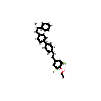 CCOc1c(F)cc(CCc2ccc(-c3ccc(C[C@H](C)c4ccccc4)cc3)cc2)cc1F